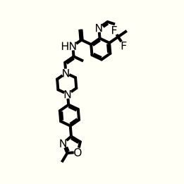 C=C(N/C(C)=C/N1CCN(c2ccc(-c3coc(C)n3)cc2)CC1)c1cccc(C(C)(F)F)c1/N=C\C